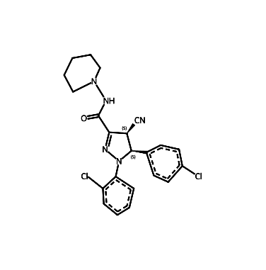 N#C[C@@H]1C(C(=O)NN2CCCCC2)=NN(c2ccccc2Cl)[C@@H]1c1ccc(Cl)cc1